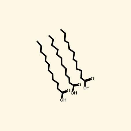 CCCCCCCCCCCC(=O)O.CCCCCCCCCCCC(=O)O.CCCCCCCCCCCC(=O)O